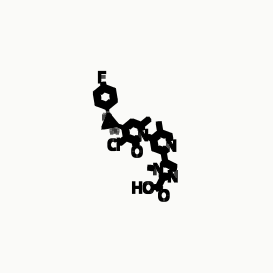 Cc1cnc(-c2cnc(C(=O)O)n2C)cc1-n1c(C)cc([C@H]2C[C@@H]2c2ccc(F)cc2)c(Cl)c1=O